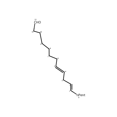 CCCCCC=CCC=CCCCCCCC=O